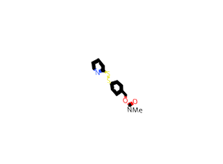 CNC(=O)OCc1ccc(SSc2ccccn2)cc1